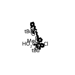 COc1c(OCCCN(CCCc2ccccc2Cl)C(=O)OC(C)(C)C)cccc1[C@@H]1O[C@@H](CC(=O)O)C(=O)N(CC(C)(C)C)c2ccc(Cl)cc21